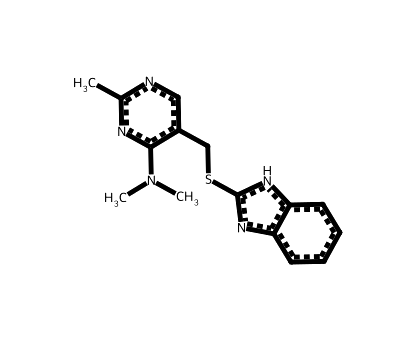 Cc1ncc(CSc2nc3ccccc3[nH]2)c(N(C)C)n1